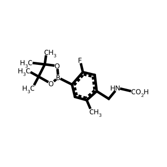 Cc1cc(B2OC(C)(C)C(C)(C)O2)c(F)cc1CNC(=O)O